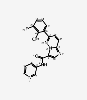 O=C(Nc1cccnc1)c1cnc2ccc(-c3cccc(F)c3Cl)nn12